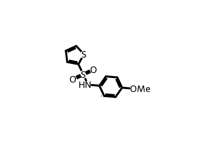 COc1c[c]c(NS(=O)(=O)c2cccs2)cc1